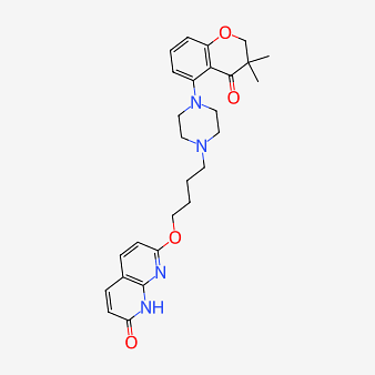 CC1(C)COc2cccc(N3CCN(CCCCOc4ccc5ccc(=O)[nH]c5n4)CC3)c2C1=O